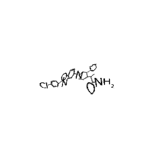 CC(C(N)=O)C1CCN(c2ccc3oc(-c4ccc(Cl)cc4)nc3c2)CC1c1ccccc1